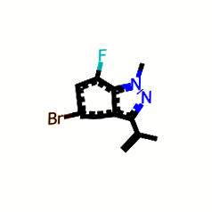 C=C(C)c1nn(C)c2c(F)cc(Br)cc12